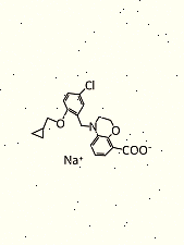 O=C([O-])c1cccc2c1OCCN2Cc1cc(Cl)ccc1OCC1CC1.[Na+]